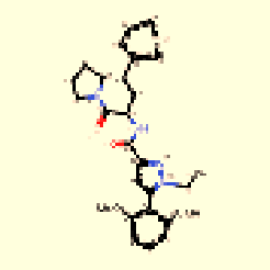 COc1cccc(OC)c1-c1cc(C(=O)NC(CCc2ccccc2)C(=O)N2CCCC2)nn1CC(C)C